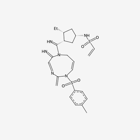 C=CS(=O)(=O)N[C@H]1C[C@@H](CC)[C@@H](C(=N)N2C/C=C\N(S(=O)(=O)c3ccc(C)cc3)C(=C)/N=C\C2=N)C1